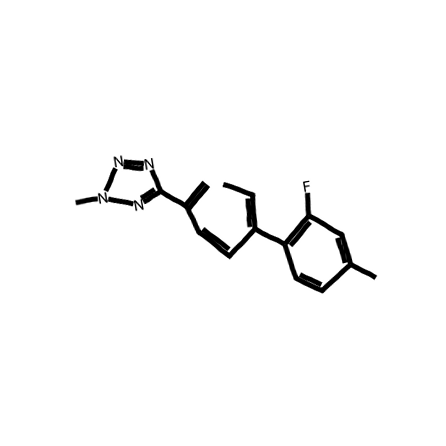 C=C(/C=C\C(=C/C)c1ccc(C)cc1F)c1nnn(C)n1